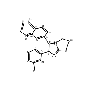 Cc1cccc(-c2nc3n(c2-c2ccc4nccnc4c2)CCC3)c1